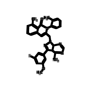 COc1cc(F)cc(C2=NN(Cc3cc4cccc(C)c4c(=O)n3-c3ccccc3C)C3N=CN=C(N)C23)c1